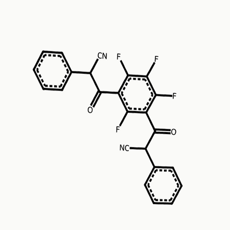 N#CC(C(=O)c1c(F)c(F)c(F)c(C(=O)C(C#N)c2ccccc2)c1F)c1ccccc1